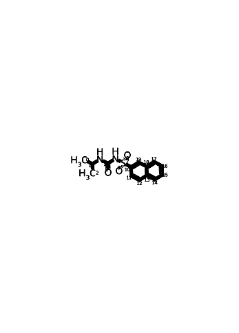 CC(C)NC(=O)NS(=O)(=O)c1ccc2ccccc2c1